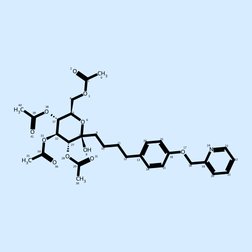 CC(=O)OC[C@H]1O[C@](O)(CCCCc2ccc(OCc3ccccn3)cc2)[C@H](OC(C)=O)[C@@H](OC(C)=O)[C@@H]1OC(C)=O